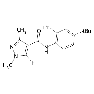 Cc1nn(C)c(F)c1C(=O)Nc1ccc(C(C)(C)C)cc1C(C)C